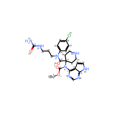 CC(C)(C)OC(=O)N(c1ncnc2[nH]ccc12)C1(C(=O)N(CCCNC(N)=O)c2ccc(Cl)cc2)CCNCC1